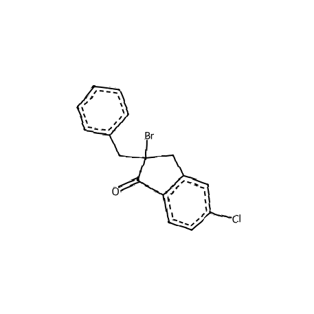 O=C1c2ccc(Cl)cc2CC1(Br)Cc1ccccc1